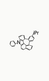 CC(C)c1ccc2c(c1)-c1cccc3c1c1c4c-2cccc4ccc1n3-c1ccccc1